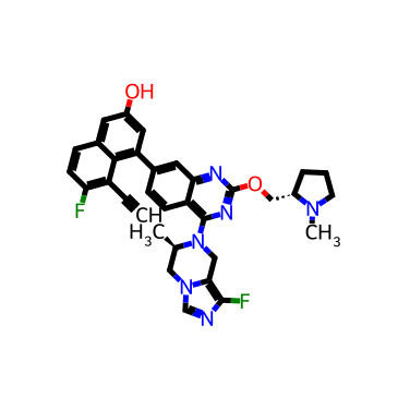 C#Cc1c(F)ccc2cc(O)cc(-c3ccc4c(N5Cc6c(F)ncn6C[C@H]5C)nc(OC[C@@H]5CCCN5C)nc4c3)c12